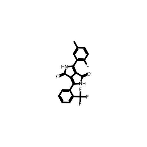 Cc1ccc(F)c(C2=C3C(=O)NC(c4ccccc4C(F)(F)F)=C3C(=O)N2)c1